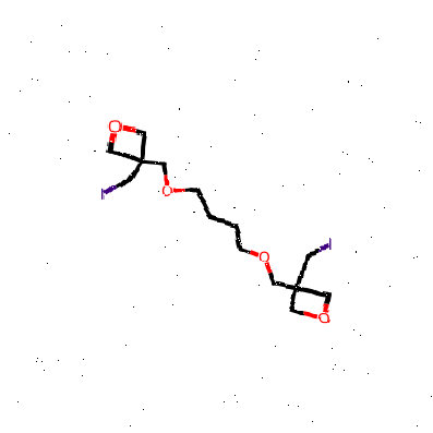 ICC1(COCCCCOCC2(CI)COC2)COC1